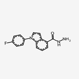 NNC(=O)c1cccc2c1ccn2-c1ccc(F)cc1